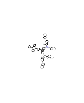 C=Cc1c(/C(=C\Cc2ccc3c(c2)CCCC3)c2ccc3c(c2)c2cc(C4CC(C5=CC=C6CCCCC6[C@H]5C)=CC5=C4SC4C=CC(C6C=CC7=C(CCCC7)C6)=CC54)ccc2n3-c2ccc(-c3c4ccccc4c(-c4ccccc4)c4ccccc34)cc2)sc2ccc(-c3ccc4c(c3)CCCC4)cc12